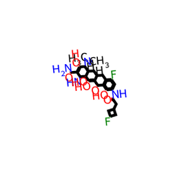 CN(C)[C@@H]1C(O)=C(C(N)=O)C(=N)[C@@]2(O)C(O)=C3C(=O)c4c(O)c(NC(=O)CC5CC(F)C5)cc(F)c4C[C@H]3C[C@@H]12